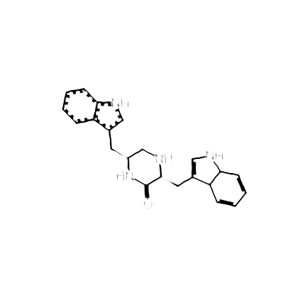 O=C1N[C@@H](Cc2c[nH]c3ccccc23)CN[C@H]1CC1=CNC2C=CC=CC12